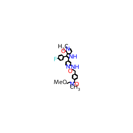 COCCN(C)C(=O)c1ccc(CC(=O)Nc2cc(-c3[nH]c4ccn(C)c(=O)c4c3-c3ccc(F)cc3)ccn2)cc1